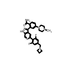 CN1CCN(c2ccc(C(N)=O)c(-c3n[nH]c4cnc(-c5c(F)cc(CN6CCC6)cc5F)cc34)c2)CC1